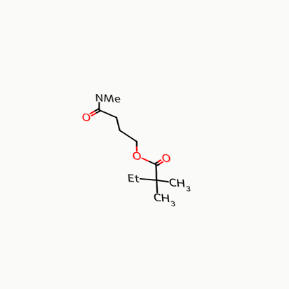 CCC(C)(C)C(=O)OCCCC(=O)NC